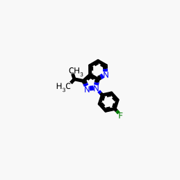 CC(C)c1nn(-c2ccc(F)cc2)c2ncccc12